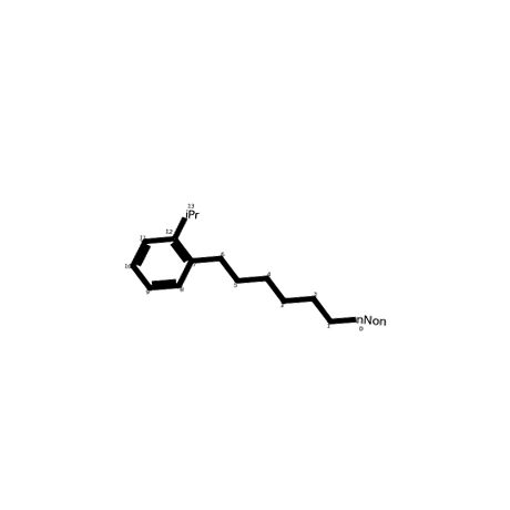 CCCCCCCCCCCCCCCc1ccc[c]c1C(C)C